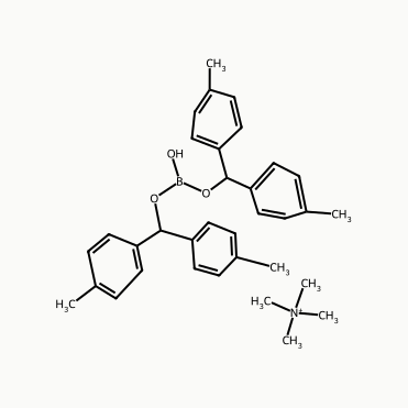 C[N+](C)(C)C.Cc1ccc(C(OB(O)OC(c2ccc(C)cc2)c2ccc(C)cc2)c2ccc(C)cc2)cc1